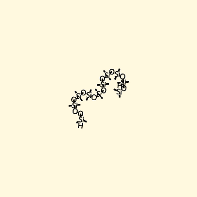 C[SiH](C)OO[Si](C)(C)O[Si](C)(C)O[Si](C)(C)O[Si](C)(C)O[Si](C)(C)O[Si](C)(C)O[Si](C)(C)O[Si](C)(C)O[SiH](C)C